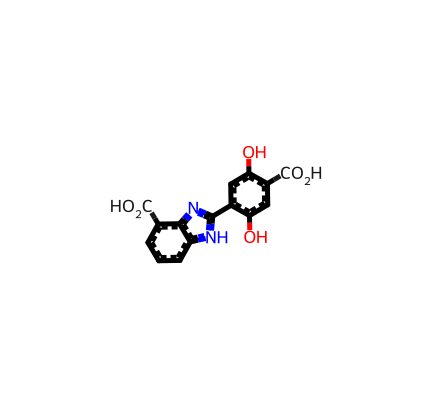 O=C(O)c1cc(O)c(-c2nc3c(C(=O)O)cccc3[nH]2)cc1O